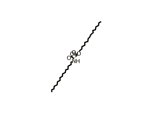 CCCCCCCCCCCCCCCCN[C@@H](CC(=O)OCCCCCCCCCCCCCCCC)C(=O)O